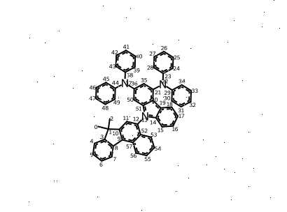 CC1(C)c2ccccc2-c2c1cc(-n1c3ccccc3c3c(N(c4ccccc4)c4ccccc4)cc(N(c4ccccc4)c4ccccc4)cc31)c1ccccc21